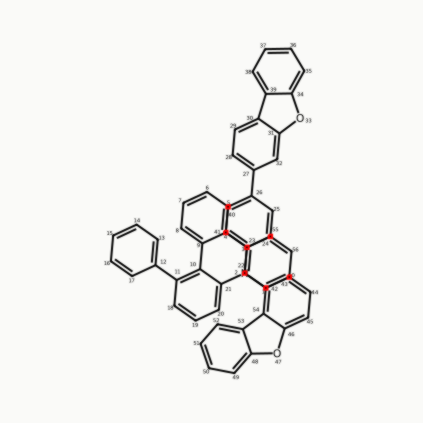 c1ccc(-c2ccccc2-c2c(-c3ccccc3)cccc2N(c2ccc(-c3ccc4c(c3)oc3ccccc34)cc2)c2cccc3oc4ccccc4c23)cc1